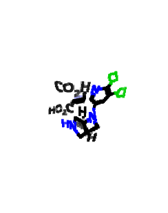 Clc1cc(N2C[C@H]3CNC[C@H]32)cnc1Cl.O=C(O)/C=C/C(=O)O